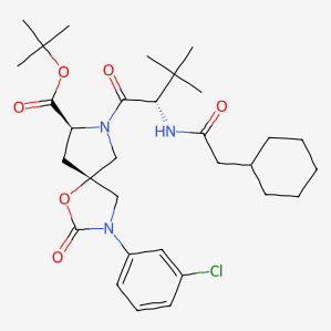 CC(C)(C)OC(=O)[C@@H]1C[C@]2(CN(c3cccc(Cl)c3)C(=O)O2)CN1C(=O)[C@@H](NC(=O)CC1CCCCC1)C(C)(C)C